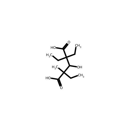 CCC(C)(C(=O)O)C(O)C(CC)(CC)C(=O)O